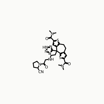 C[C@H](CC1(c2nn[nH]n2)c2cc(C(=O)N(C)C)sc2CCc2cc(C(=O)N(C)C)sc21)NCC(=O)N1CCCC1C#N